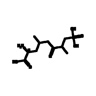 CC(CC(=O)C(C)CP(=O)(O)O)C[C@H](N)C(=O)O